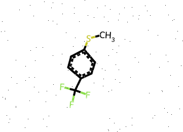 CSc1ccc(C(F)(F)F)cc1